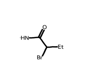 CCC(Br)C([NH])=O